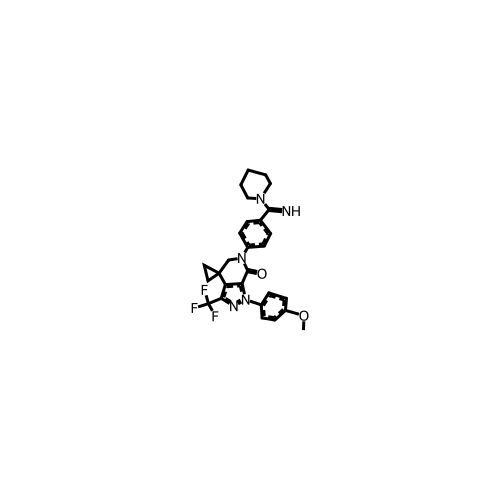 COc1ccc(-n2nc(C(F)(F)F)c3c2C(=O)N(c2ccc(C(=N)N4CCCCC4)cc2)CC32CC2)cc1